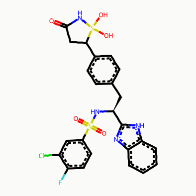 O=C1CC(c2ccc(C[C@H](NS(=O)(=O)c3ccc(F)c(Cl)c3)c3nc4ccccc4[nH]3)cc2)S(O)(O)N1